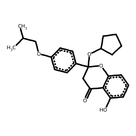 CC(C)COc1ccc(C2(OC3CCCC3)CC(=O)c3c(O)cccc3O2)cc1